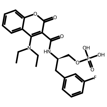 CCN(CC)c1c(C(=O)N[C@@H](COP(=O)(O)O)Cc2cccc(F)c2)c(=O)oc2ccccc12